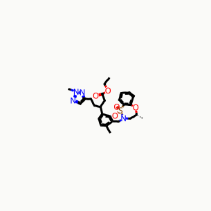 CCOC(=O)CC(CCc1cnn(C)n1)c1ccc(C)c(CN2C[C@@H](C)Oc3ccccc3S2(=O)=O)c1